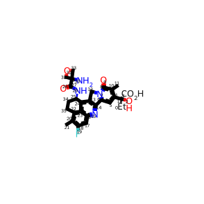 CC[C@](O)(C(=O)O)c1cc2n(c(=O)c1C)Cc1c-2nc2cc(F)c(C)c3c2c1[C@H](NC(=O)C1(N)COC1)CC3